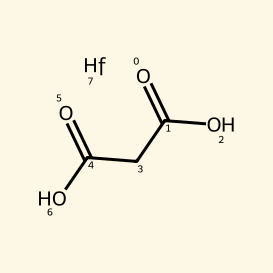 O=C(O)CC(=O)O.[Hf]